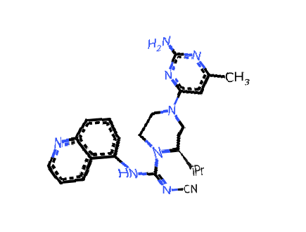 Cc1cc(N2CCN(/C(=N\C#N)Nc3cccc4ncccc34)[C@H](C(C)C)C2)nc(N)n1